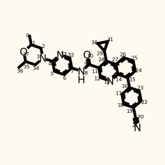 CC1CN(c2ccc(NC(=O)c3cnc4c(-c5ccc(C#N)cc5)cccc4c3C3CC3)cn2)CC(C)O1